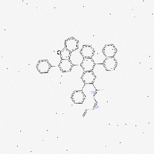 C=C/C=C\C=C(/C)c1cc2c(-c3cccc4ccccc34)c3ccccc3c(-c3ccc(-c4ccccc4)c4oc5ccccc5c34)c2cc1-c1ccccc1